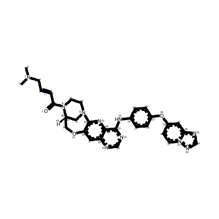 CN(C)C/C=C/C(=O)N1CCN2C[C@@H]1COc1cc3ncnc(Nc4ccc(Oc5ccn6ncnc6c5)cc4)c3nc12